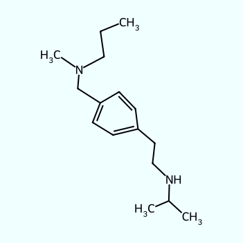 CCCN(C)Cc1ccc(CCNC(C)C)cc1